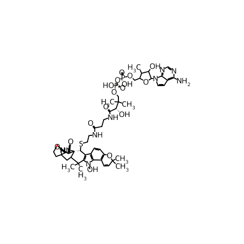 CC1C(COP(=O)(O)OP(=O)(O)OCC(C)(C)[C@H](O)C(=O)NCCC(=O)NCCSC2c3c(n(O)c4c5c(ccc34)OC(C)(C)C=C5)C(C)(C)C3CC45CCCN4C(=O)[C@]23NC5=O)OC(n2ccc3c(N)ncnc32)C1O